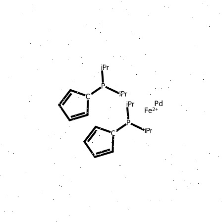 CC(C)P([c-]1cccc1)C(C)C.CC(C)P([c-]1cccc1)C(C)C.[Fe+2].[Pd]